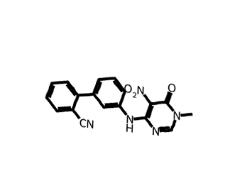 Cn1cnc(Nc2cccc(-c3ccccc3C#N)c2)c([N+](=O)[O-])c1=O